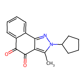 Cc1c2c(nn1C1CCCC1)-c1ccccc1C(=O)C2=O